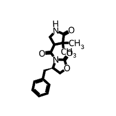 CC1(C)C(=O)NCC1C(=O)N1C(=O)OC[C@H]1Cc1ccccc1